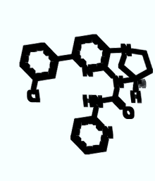 O=C(Nc1ccccn1)N1c2nc(-c3cccc(Cl)c3)ccc2N2CC[C@H]1C2